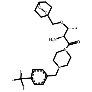 C[C@@H](OCC12CCC(CC1)OC2)[C@H](N)C(=O)N1CCN(Cc2ccc(C(F)(F)F)cc2)CC1